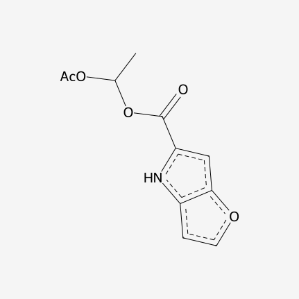 CC(=O)OC(C)OC(=O)c1cc2occc2[nH]1